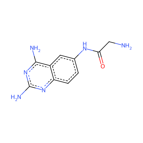 NCC(=O)Nc1ccc2nc(N)nc(N)c2c1